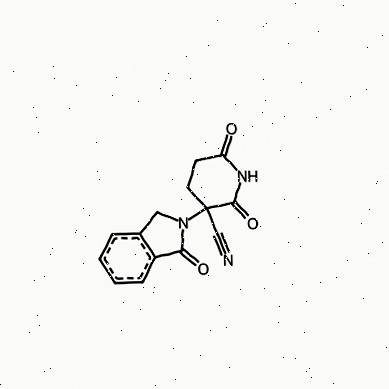 N#CC1(N2Cc3ccccc3C2=O)CCC(=O)NC1=O